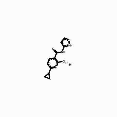 O=C(Nc1ccn[nH]1)c1ccc(C2CC2)nc1Cl.[Cl-].[H+]